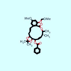 COCOc1cc(OC)cc2c1C(=O)OC(C)[C@H](C)/C=C\C(OC(=O)c1ccccc1)C1OC(C)(C)OC1C/C=C/2